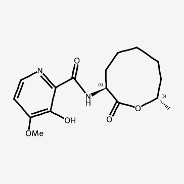 COc1ccnc(C(=O)N[C@H]2CCCCC[C@H](C)OC2=O)c1O